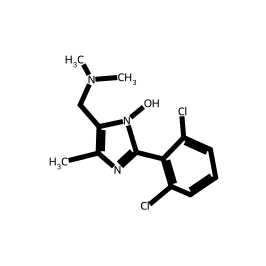 Cc1nc(-c2c(Cl)cccc2Cl)n(O)c1CN(C)C